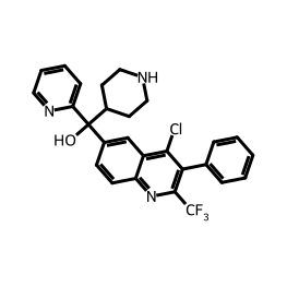 OC(c1ccc2nc(C(F)(F)F)c(-c3ccccc3)c(Cl)c2c1)(c1ccccn1)C1CCNCC1